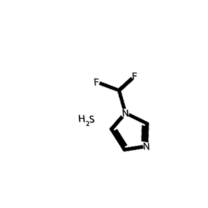 FC(F)n1ccnc1.S